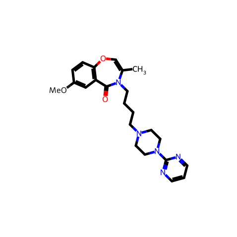 COc1ccc2c(c1)C(=O)N(CCCCN1CCN(c3ncccn3)CC1)C(C)=CO2